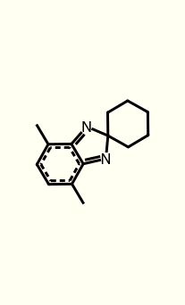 Cc1ccc(C)c2c1=NC1(CCCCC1)N=2